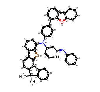 C\C=C/C(=C\C=N\c1ccccc1)N(c1ccc(-c2cccc3c2oc2ccccc23)cc1)c1cccc2c1sc1c3c(ccc12)C(C)(C)c1ccccc1-3